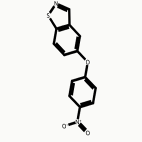 O=[N+]([O-])c1ccc(Oc2ccc3sncc3c2)cc1